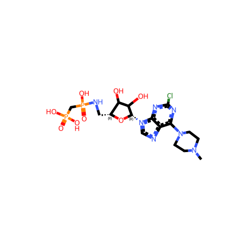 CN1CCN(c2nc(Cl)nc3c2ncn3[C@@H]2O[C@H](CNP(=O)(O)CP(=O)(O)O)C(O)C2O)CC1